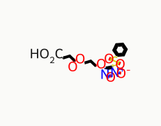 O=C(O)CCC(=O)OCCCOc1no[n+]([O-])c1S(=O)(=O)c1ccccc1